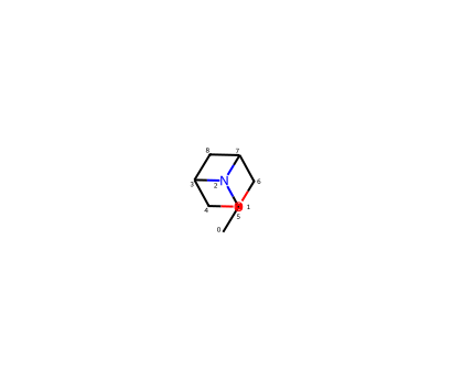 CCN1C2COCC1C2